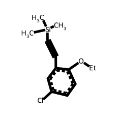 CCOc1ccc(Cl)cc1C#C[Si](C)(C)C